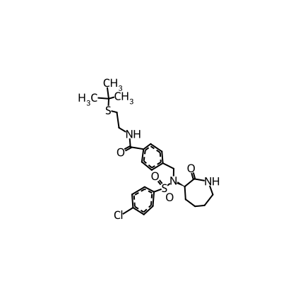 CC(C)(C)SCCNC(=O)c1ccc(CN([C@@H]2CCCCNC2=O)S(=O)(=O)c2ccc(Cl)cc2)cc1